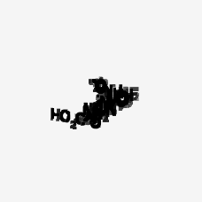 Cc1ccc(Nc2c(-c3ccc(F)cc3)nc3n2CCN(C(=O)[C@H](N)CC(=O)O)C3)cc1